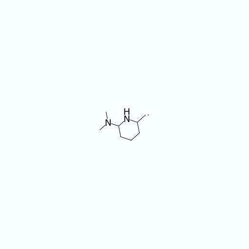 [CH2]C1CCCC(N(C)C)N1